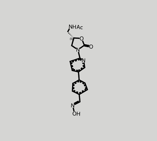 CC(=O)NC[C@H]1CN(c2ccc(-c3ccc(C=NO)cc3)cn2)C(=O)O1